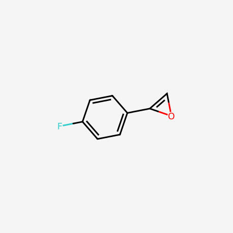 Fc1ccc(C2=CO2)cc1